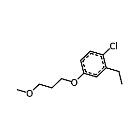 CCc1cc(OCCCOC)ccc1Cl